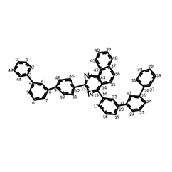 c1ccc(-c2cccc(-c3ccc(-c4nc(-c5cccc(-c6cccc(-c7ccccc7)c6)c5)c5ccc6ccccc6c5n4)cc3)c2)cc1